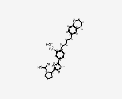 Cl.N=C(N)N1CCCC1c1nc(-c2ccc(OCCCc3ccc4c(c3)OCCO4)c(C(F)(F)F)c2)no1